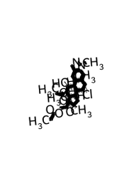 CCC(=O)OCC(=O)[C@@]1(OC(=O)CC)[C@H](C)C[C@H]2[C@H]3[C@H]([C@@H](O)C[C@@]21C)[C@@]1(C)Cc2cnn(C)c2C=C1C[C@H]3Cl